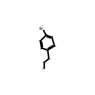 CCCc1[c]cc(Br)cc1